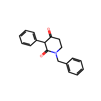 O=C1CCN(Cc2ccccc2)C(=O)C1c1ccccc1